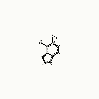 Cn1ccc2nncc-2c1Cl